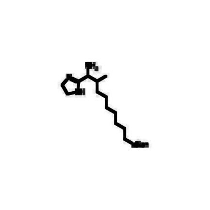 CCCCCCCCCCCCCCCCC(C)C(N)C1=NCCN1